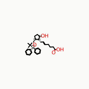 CC(C)(C)[Si](OC[C@H]1CC[C@H](O)[C@@H]1CC=CCCCC(=O)O)(c1ccccc1)c1ccccc1